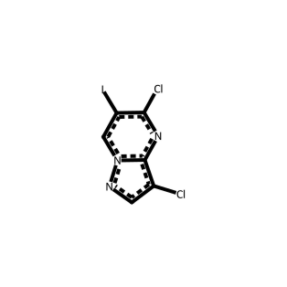 Clc1nc2c(Cl)cnn2cc1I